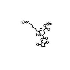 CCCCCCCCCCCCCCCC(=O)N[C@@H](CCC(=O)OC(C)(C)C)C(=O)ON1C(=O)CCC1=O